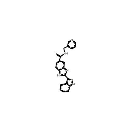 O=C(NCc1cccnc1)c1ccc2[nH]c(-c3n[nH]c4ccccc34)nc2c1